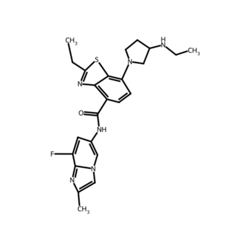 CCNC1CCN(c2ccc(C(=O)Nc3cc(F)c4nc(C)cn4c3)c3nc(CC)sc23)C1